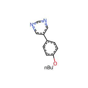 CCCCOc1ccc(-c2cncnc2)cc1